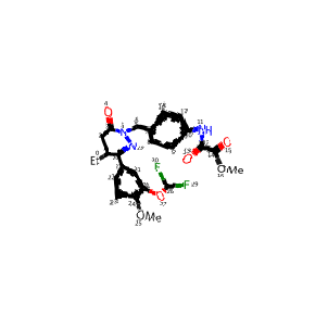 CCC1CC(=O)N(Cc2ccc(NC(=O)C(=O)OC)cc2)N=C1c1ccc(OC)c(OC(F)F)c1